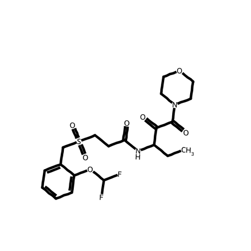 CCC(NC(=O)CCS(=O)(=O)Cc1ccccc1OC(F)F)C(=O)C(=O)N1CCOCC1